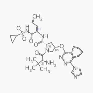 C=C/C=C(/NC(=O)[C@@H]1C[C@@H](Oc2nnc(-n3ccnc3)c3ccccc23)CN1C(=O)[C@@H](N)C(C)(C)C)C(=O)NS(=O)(=O)C1CC1